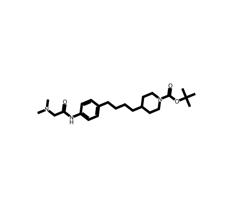 CN(C)CC(=O)Nc1ccc(CCCCC2CCN(C(=O)OC(C)(C)C)CC2)cc1